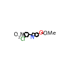 COCOc1ccc2c(c1)CC(c1ccc([N+](=O)[O-])c(Cl)c1)=N2